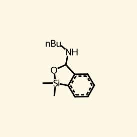 CCCCNC1O[Si](C)(C)c2ccccc21